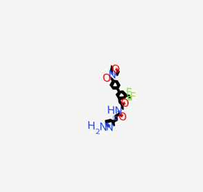 Nc1ccc(/C=C/C(=O)NCC2Cc3cc(-c4ccc(C(=O)N5CCOCC5)cc4)cc(C(F)(F)F)c3O2)cn1